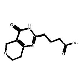 O=C(O)CCCc1nc2c(c(=O)[nH]1)COCC2